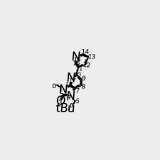 Cn1c(=O)n(CC(C)(C)C)c2ccc(-c3cccnc3)nc21